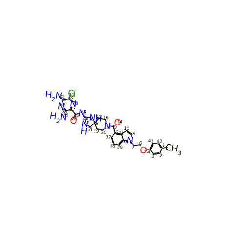 Cc1ccc(OCCn2ccc3c(C(=O)N4CCC5(CC4)CN/C(=N\C(=O)C4=NC(Cl)C(N)N=C4N)N5)cccc32)cc1